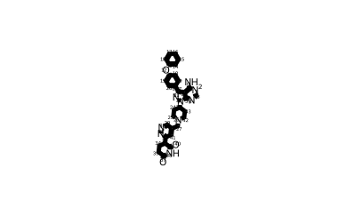 Nc1ncnc2c1c(-c1ccc(Oc3ccccc3)cc1)nn2C1CCN(Cc2cnnc(C3CCC(=O)NC3=O)c2)CC1